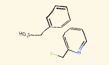 FCc1ccccn1.O=S(=O)(O)Cc1ccccc1